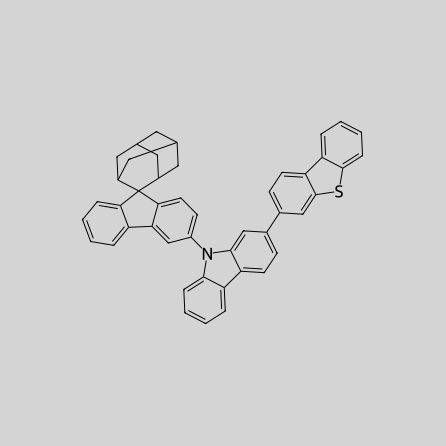 c1ccc2c(c1)-c1cc(-n3c4ccccc4c4ccc(-c5ccc6c(c5)sc5ccccc56)cc43)ccc1C21C2CC3CC(C2)CC1C3